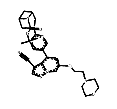 CC(C)(C)OC(=O)N1C2CC1CN(c1ncc(-c3cc(OCCN4CCOCC4)cn4ncc(C#N)c34)cn1)C2